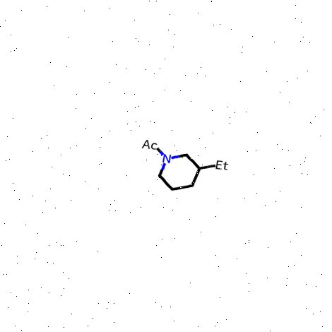 [CH2]CC1CCCN(C(C)=O)C1